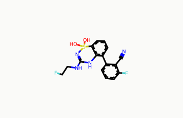 N#Cc1c(F)cccc1-c1cccc2c1NC(NCCF)=NS2(O)O